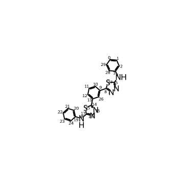 c1ccc(Nc2nnc(-c3cccc(-c4nnc(Nc5ccccc5)s4)c3)s2)cc1